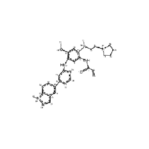 C=CC(=O)Nc1cc(Nc2cc(-c3ccc4c(cnn4C)c3)ncn2)c(OC)cc1N(C)CCN1CCCC1